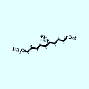 CCCCCCCCCCCCCCCCCC(=O)O.[KH].[KH]